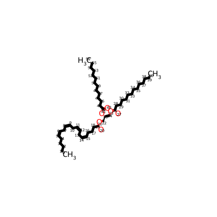 CCCCC/C=C\C/C=C\C/C=C\C/C=C\CCCC(=O)OC[C@H](COC(=O)CCCCCCCCCCCCC)OC(=O)CCCCCCCCCCCCC